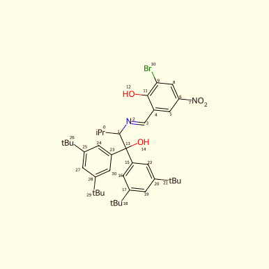 CC(C)C(N=Cc1cc([N+](=O)[O-])cc(Br)c1O)C(O)(c1cc(C(C)(C)C)cc(C(C)(C)C)c1)c1cc(C(C)(C)C)cc(C(C)(C)C)c1